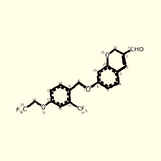 O=CC1=Cc2ccc(OCc3ccc(OCC(F)(F)F)cc3C(F)(F)F)cc2OC1